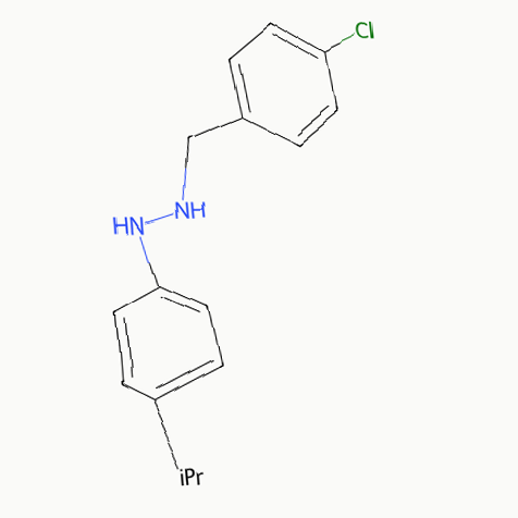 CC(C)c1ccc(NNCc2ccc(Cl)cc2)cc1